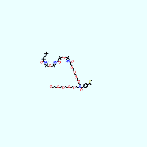 C=C(SC)c1ccc(C(=O)N(CCOCCOCCOCCOCCC=O)CCOCCOCCOCCOCCC(=O)NCC(C)(C)COCC(C)(C)CC(=O)NCC(C)(C)COCC(C)(C)CNC(=O)C(C)(C)CCC(C)(C)C)cc1